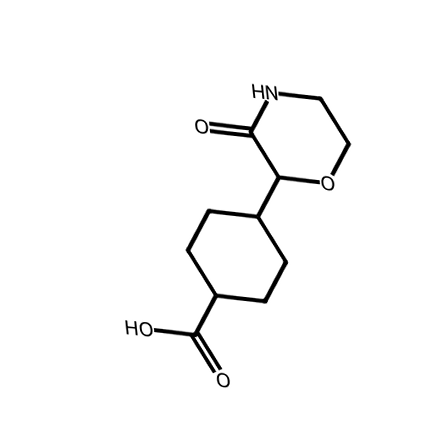 O=C(O)C1CCC(C2OCCNC2=O)CC1